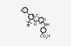 CP(C)(=O)c1cc(-c2cccnc2)ccc1Nc1nc(Nc2ccc(C(=O)O)cc2)ncc1C(F)(F)F